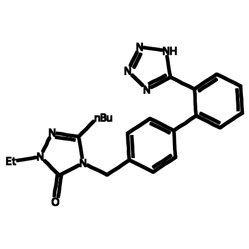 CCCCc1nn(CC)c(=O)n1Cc1ccc(-c2ccccc2-c2nnn[nH]2)cc1